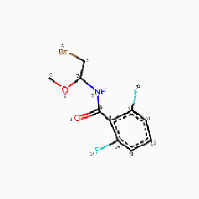 COC(CBr)NC(=O)c1c(F)cccc1F